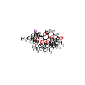 CC(C)(C)[Si](C)(C)OC1C(O[Si](C)(C)C(C)(C)C)C2OC(CC=O)CC[C@@H]2OC1[C@H](/C=C/I)O[Si](C)(C)C(C)(C)C